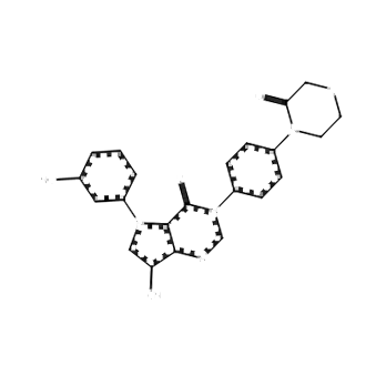 N#Cc1cccc(-n2cc(C#N)c3ncn(-c4ccc(N5CCOCC5=O)cc4)c(=O)c32)c1